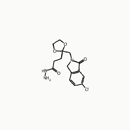 NNC(=O)CCC1(CN2Cc3ccc(Cl)cc3C2=O)OCCO1